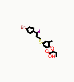 CCC(Oc1ccc(SCC=C(I)c2ccc(Br)cc2)cc1C)C(=O)O